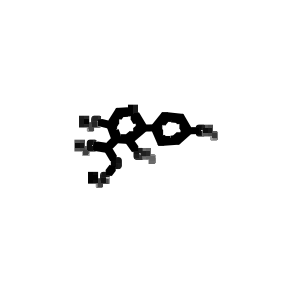 C=C(OC)c1c(C)cnc(-c2ccc(C)cc2)c1C